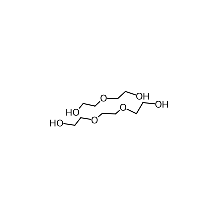 OCCOCCO.OCCOCCOCCO